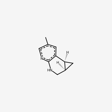 Cc1cnc2c(c1)[C@H]1C[C@H]1CN2